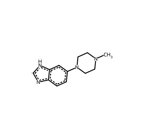 CN1CCN(c2ccc3n[c][nH]c3c2)CC1